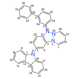 C1=CN2c3cc(-n4c5ccccc5c5ccccc54)ccc3N(c3cccc(-c4ccccc4)c3)N2C=C1